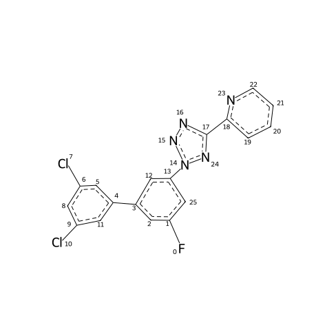 Fc1cc(-c2cc(Cl)cc(Cl)c2)cc(-n2nnc(-c3ccccn3)n2)c1